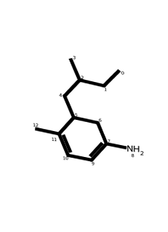 CCC(C)CC1CC(N)=CC=C1C